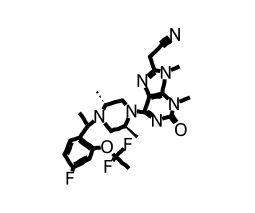 CC(c1ccc(F)cc1OC(C)(F)F)N1C[C@H](C)N(c2nc(=O)n(C)c3c2nc(CC#N)n3C)C[C@H]1C